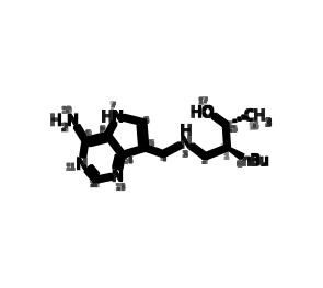 CCCC[C@@H](CNCc1c[nH]c2c(N)ncnc12)[C@@H](C)O